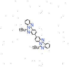 CC(C)(C)c1nc2cc(-c3ccc4c(c3)nc3c5ccccc5nc(C(C)(C)C)n43)ccc2c2nc3ccccc3n12